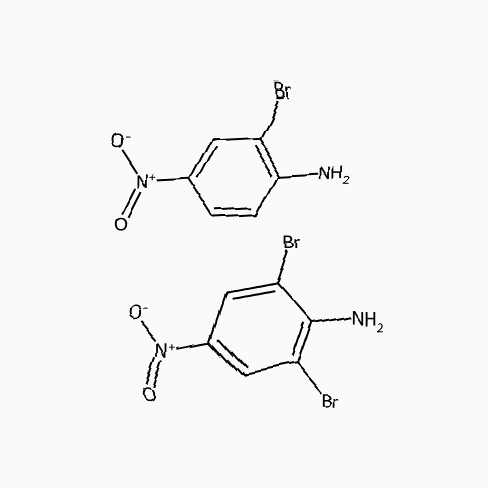 Nc1c(Br)cc([N+](=O)[O-])cc1Br.Nc1ccc([N+](=O)[O-])cc1Br